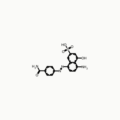 NC(=O)c1ccc(N=Nc2ccc(N)c3c(O)cc(S(=O)(=O)O)cc23)cc1